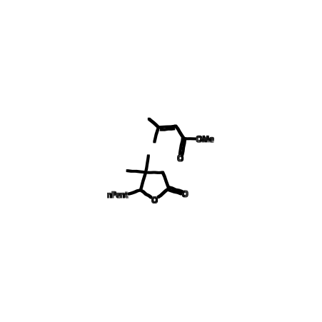 CCCCCC1OC(=O)CC1(C)C.COC(=O)C=C(C)C